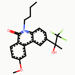 CCCCn1c(=O)c2ccc(OC)cc2c2cc(C(C)(O)C(F)(F)F)ccc21